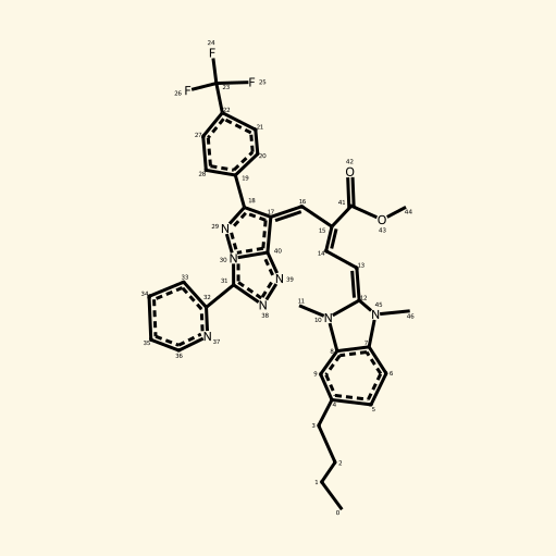 CCCCc1ccc2c(c1)N(C)\C(=C/C=C(/C=c1/c(-c3ccc(C(F)(F)F)cc3)nn3c(-c4ccccn4)nnc13)C(=O)OC)N2C